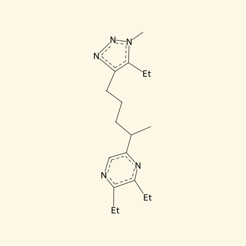 CCc1ncc(C(C)CCCc2nnn(C)c2CC)nc1CC